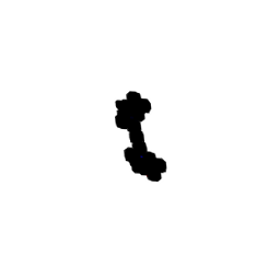 C=Cc1ccc(C2(c3ccccc3)c3ccccc3-c3ccc(N(c4ccc(-c5ccc(-c6ccc(N(c7ccc8c(c7)C(c7ccccc7)(c7ccc(C=C)cc7)c7ccccc7-8)c7cccc8ccccc78)cc6)cc5)cc4)c4cccc5ccccc45)cc32)cc1